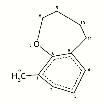 Cc1cccc2c1OCCCC2